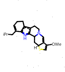 COC1=CS[C@H]2CC3c4[nH]c5c(c4CCN3C=C12)CCC=C5CC(C)C